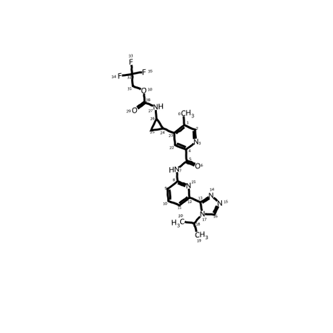 Cc1cnc(C(=O)Nc2cccc(-c3nncn3C(C)C)n2)cc1C1CC1NC(=O)OCC(F)(F)F